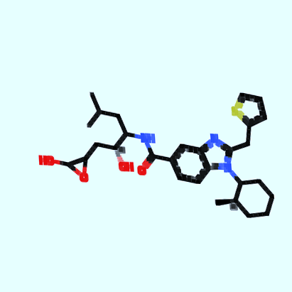 CC(C)CC(NC(=O)c1ccc2c(c1)nc(Cc1cccs1)n2C1CCCC[C@H]1C)[C@H](O)CC1OC1O